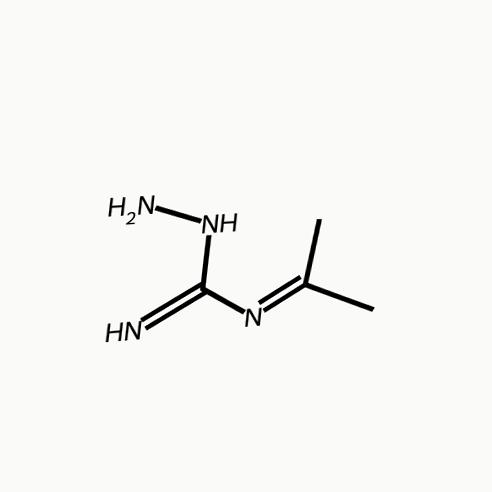 CC(C)=NC(=N)NN